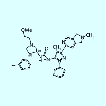 COCCN1C[C@@H](NC(=O)Nc2c(C)c(-c3cc4c(cn3)CN(C)C4)nn2-c2ccccc2)[C@H](c2cccc(F)c2)C1